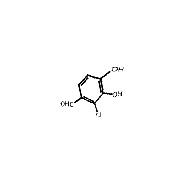 O=[C]c1ccc(O)c(O)c1Cl